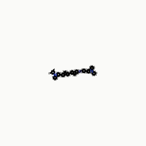 Cc1cc(C)cc(-n2c3ccccc3c3cc(-c4ccc5c(c4)C(C)(C)c4cc(-c6ccc7c(c6)C(C)(C)c6cc(/C=C/c8ccc(-c9ccc%10c(c9)c9ccccc9n%10-c9ccccc9)cc8)ccc6-7)ccc4-5)ccc32)c1